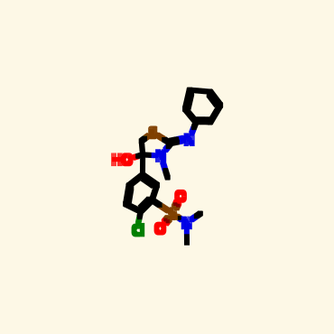 CN1C(=Nc2ccccc2)SCC1(O)c1ccc(Cl)c(S(=O)(=O)N(C)C)c1